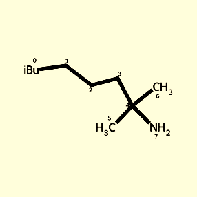 CCC(C)CCCC(C)(C)N